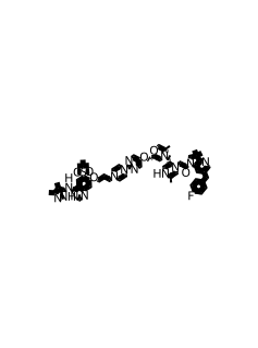 Cc1n[nH]c(Nc2ncnc3cc(OCCCN4CCN(c5ncc(OC[C@H]6CN(C[C@H]7CN[C@H](C)CN7CC(=O)N7CC(C)(C)c8ncc(Cc9ccc(F)cc9)cc87)[C@H](C)CO6)cn5)CC4)c(S(=O)(=O)C(C)(C)C)cc23)c1C